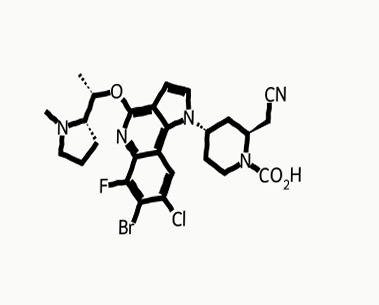 C[C@H](Oc1nc2c(F)c(Br)c(Cl)cc2c2c1ccn2[C@H]1CCN(C(=O)O)[C@H](CC#N)C1)[C@@H]1CCCN1C